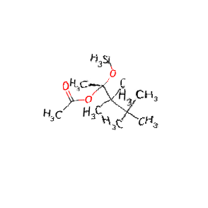 CC(=O)O[C@](C)(O[SiH3])C(C)(C)C(C)(C)C